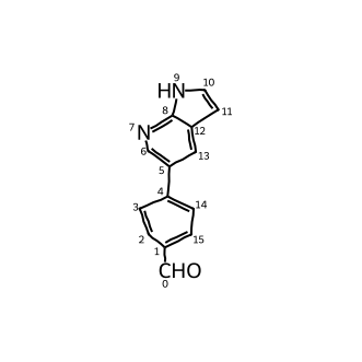 O=Cc1ccc(-c2cnc3[nH]ccc3c2)cc1